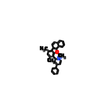 Cc1cc(C)c2c(oc3c4ccccc4ccc32)c1-c1cc(-c2ccccc2)cc[n+]1C